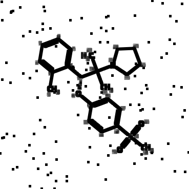 Cc1ccccc1[C@@H](Oc1ccc(S(C)(=O)=O)cc1)C(C)(C)N1CCCC1